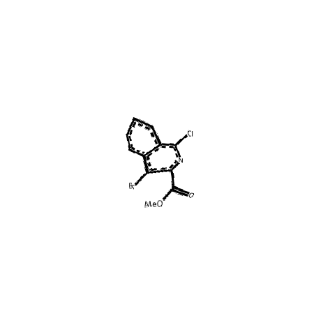 COC(=O)c1nc(Cl)c2ccccc2c1Br